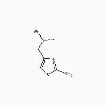 CC(C)N(C)Cc1csc(N)n1